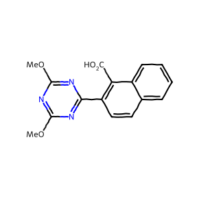 COc1nc(OC)nc(-c2ccc3ccccc3c2C(=O)O)n1